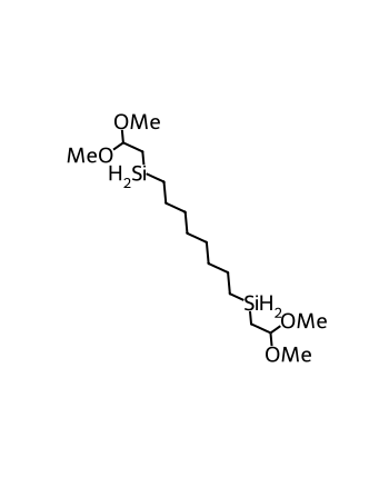 COC(C[SiH2]CCCCCCCC[SiH2]CC(OC)OC)OC